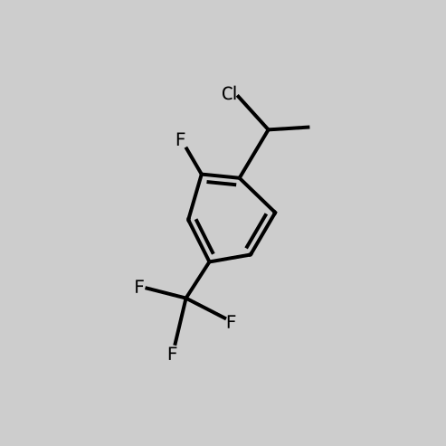 CC(Cl)c1ccc(C(F)(F)F)cc1F